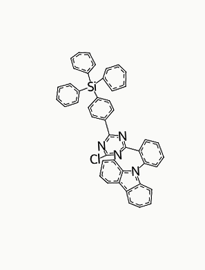 Clc1nc(-c2ccc([Si](c3ccccc3)(c3ccccc3)c3ccccc3)cc2)nc(-c2ccccc2-n2c3ccccc3c3ccccc32)n1